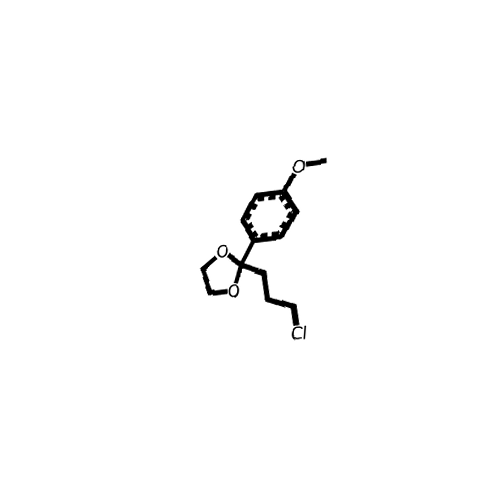 COc1ccc(C2(CCCCl)OCCO2)cc1